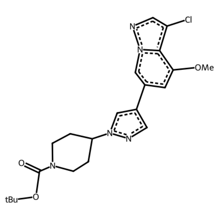 COc1cc(-c2cnn(C3CCN(C(=O)OC(C)(C)C)CC3)c2)cn2ncc(Cl)c12